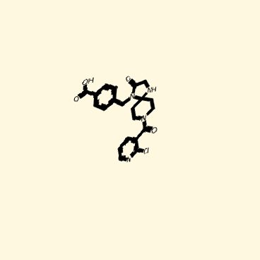 O=C(O)c1ccc(CN2C(=O)CNC23CCN(C(=O)c2cccnc2Cl)CC3)cc1